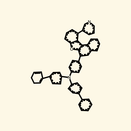 C1=CC(c2ccc(N(c3ccc(-c4ccccc4)cc3)c3ccc(-c4cc5ccccc5c5c4oc4cccc(-c6cccnc6)c45)cc3)cc2)=CCC1